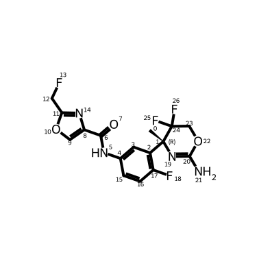 C[C@]1(c2cc(NC(=O)c3coc(CF)n3)ccc2F)N=C(N)OCC1(F)F